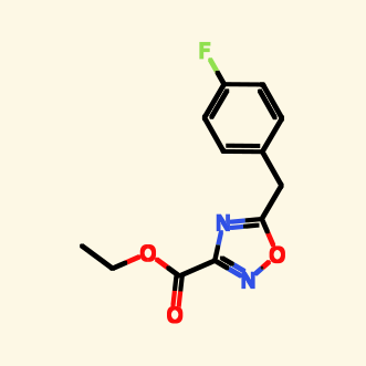 CCOC(=O)c1noc(Cc2ccc(F)cc2)n1